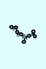 c1ccc(-c2nc(-c3ccc(-n4c5ccccc5c5ccccc54)cc3)nc(-c3ccc4c(c3)oc3ccc(-c5cccc6c5sc5ccccc56)cc34)n2)cc1